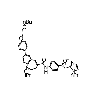 CCCCOCCOc1ccc(-c2ccc3c(c2)C=C(C(=O)Nc2ccc([S+]([O-])Cc4nccn4CCC)cc2)CCN3CC(C)C)cc1